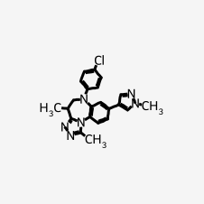 Cc1nnc2n1-c1ccc(-c3cnn(C)c3)cc1N(c1ccc(Cl)cc1)CC2C